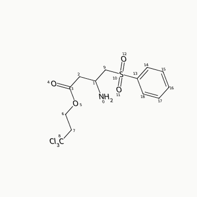 NC(CC(=O)OCCC(Cl)(Cl)Cl)CS(=O)(=O)c1ccccc1